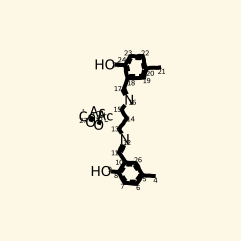 CC(=O)[O-].CC(=O)[O-].Cc1ccc(O)c(C=NCCCN=Cc2cc(C)ccc2O)c1.[Co+2]